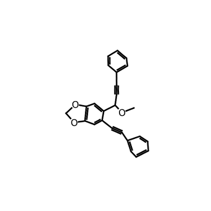 COC(C#Cc1ccccc1)c1cc2c(cc1C#Cc1ccccc1)OCO2